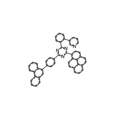 c1cncc(-c2ccccc2-c2nc(-c3ccc(-c4cc5ccccc5c5ccccc45)cc3)nc(-c3ccc4ccc5cccc6ccc3c4c56)n2)c1